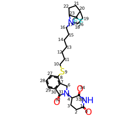 O=C1CCC(N2Cc3c(SCCCCCCCN4CCC5CCC4C5(F)F)cccc3C2=O)C(=O)N1